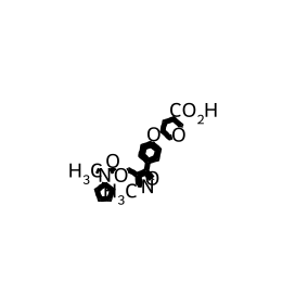 Cc1noc(-c2ccc(O[C@H]3COC[C@H](C(=O)O)C3)cc2)c1COC(=O)N(C)C1CCCC1